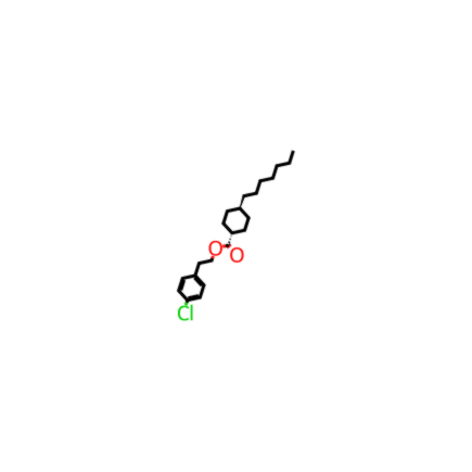 CCCCCCC[C@H]1CC[C@H](C(=O)OCCc2ccc(Cl)cc2)CC1